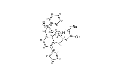 CC(C)(C)OC(=O)CC(N)Oc1c(-c2ccoc2)ccc(CS(=O)(=O)c2ccccc2)c1C(=O)O